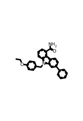 CCOc1ccc(Cn2c3cc(-c4ccccc4)c[c]c3c3c(C(N)=O)cccc32)cc1